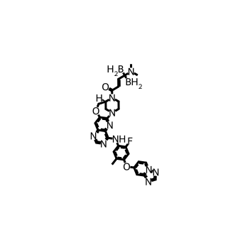 BC(B)(/C=C/C(=O)N1CCN2C[C@@H]1COc1cc3ncnc(Nc4cc(C)c(Oc5ccn6ncnc6c5)cc4F)c3nc12)N(C)C